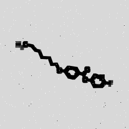 CCCCCCCCOc1ccc(C(=O)Oc2ccc(F)nc2)cc1